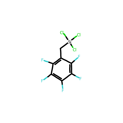 Fc1c(F)c(F)c(C[Si](Cl)(Cl)Cl)c(F)c1F